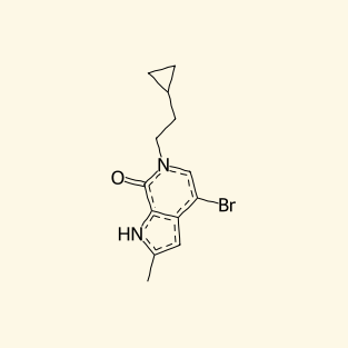 Cc1cc2c(Br)cn(CCC3CC3)c(=O)c2[nH]1